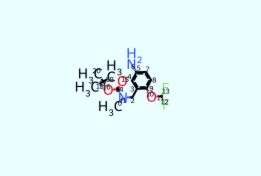 CN(Cc1cc(N)ccc1OC(F)F)C(=O)OC(C)(C)C